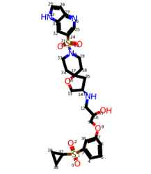 O=S(=O)(c1cccc(OCC(O)CN[C@H]2COC3(CCN(S(=O)(=O)c4cnc5cc[nH]c5c4)CC3)C2)c1)C1CC1